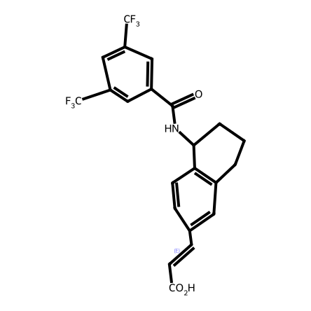 O=C(O)/C=C/c1ccc2c(c1)CCCC2NC(=O)c1cc(C(F)(F)F)cc(C(F)(F)F)c1